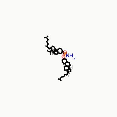 CC(C)CCC[C@@H](C)[C@H]1CC[C@H]2[C@@H]3CC=C4C[C@@H](OP(N)O[C@H]5CC[C@@]6(C)C(=CC[C@H]7[C@@H]8CC[C@H]([C@H](C)CCCC(C)C)[C@@]8(C)CC[C@@H]76)C5)CC[C@]4(C)[C@H]3CC[C@]12C